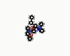 c1ccc(-c2cccc(-c3ccc(-c4nc5ccccc5n4-c4ccccc4)c4c3oc3c(-n5c6ccccc6c6ccc7c8ccccc8oc7c65)cccc34)c2)cc1